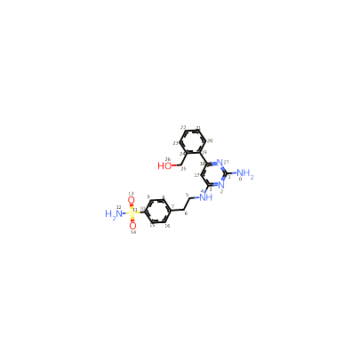 Nc1nc(NCCc2ccc(S(N)(=O)=O)cc2)cc(-c2ccccc2CO)n1